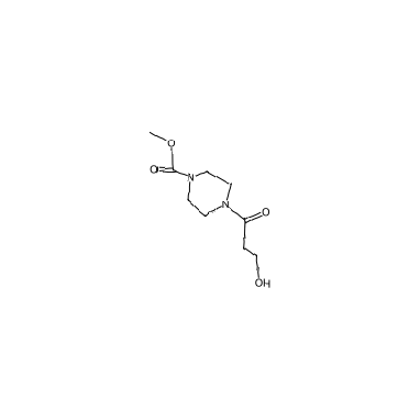 COC(=O)N1CCN(C(=O)CCO)CC1